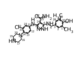 Cc1cc(CNc2[nH]nc(Nc3ccc(N4CCNCC4)c(Cl)c3)c2C(N)=O)cc(C)c1O